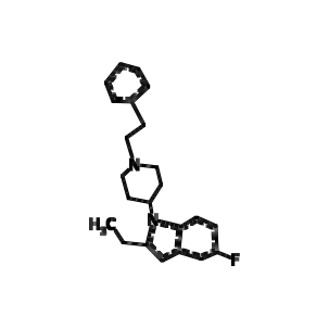 CCc1cc2cc(F)ccc2n1C1CCN(CCc2ccccc2)CC1